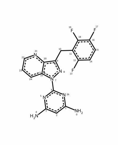 Nc1[c]c(N)nc(-n2nc(Cc3c(F)ccc(F)c3F)c3ncccc32)n1